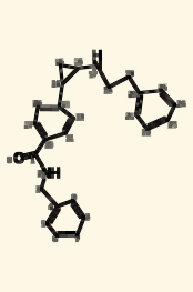 O=C(NCc1ccccc1)c1ccc(C2CC2NCCc2ccccc2)cc1